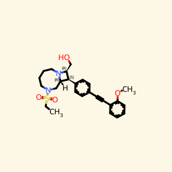 CCS(=O)(=O)N1CCCCN2[C@@H](CO)[C@@H](c3ccc(C#Cc4ccccc4OC)cc3)[C@@H]2C1